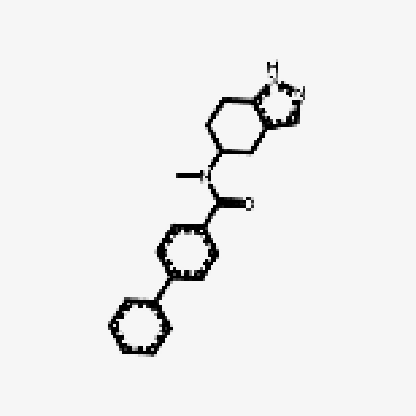 CN(C(=O)c1ccc(-c2ccccc2)cc1)C1CCc2[nH]ncc2C1